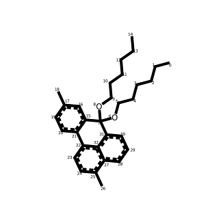 CCCCCCOC1(OCCCCCC)c2cc(C)ccc2-c2ccc(C)c3cccc1c23